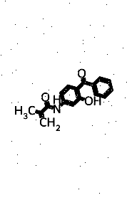 C=C(C)C(=O)Nc1ccc(C(=O)c2ccccc2)c(O)c1